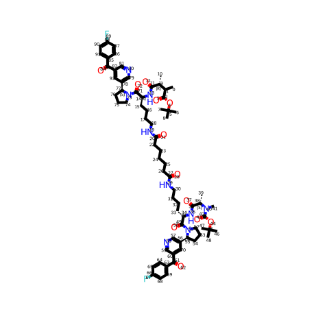 CC(C(=O)OC(C)(C)C)[C@@H](C)C(=O)N[C@@H](CCCCNC(=O)CCCCCC(=O)NCCCC[C@H](NC(=O)[C@H](C)N(C)C(=O)OC(C)(C)C)C(=O)N1CCC[C@H]1c1cncc(C(=O)c2ccc(F)cc2)c1)C(=O)N1CCC[C@H]1c1cncc(C(=O)c2ccc(F)cc2)c1